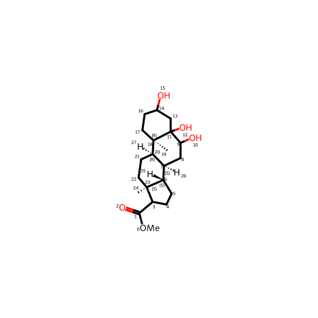 COC(=O)C1CC[C@H]2[C@@H]3CC(O)C4(O)CC(O)CC[C@]4(C)[C@@H]3CC[C@]12C